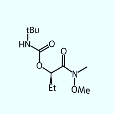 CC[C@@H](OC(=O)NC(C)(C)C)C(=O)N(C)OC